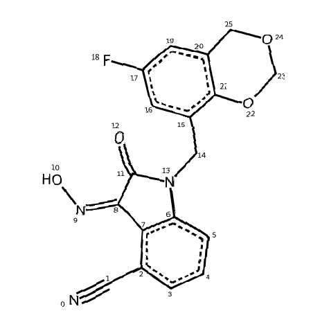 N#Cc1cccc2c1/C(=N/O)C(=O)N2Cc1cc(F)cc2c1OCOC2